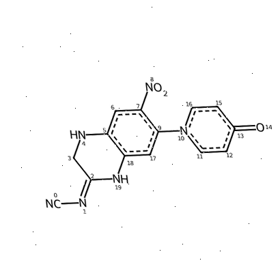 N#CN=C1CNc2cc([N+](=O)[O-])c(-n3ccc(=O)cc3)cc2N1